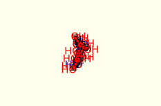 O=C(O)CN(CCN(CC(=O)O)Cc1c(O)c(I)c(C(=O)NCC(O)CO)c(I)c1O)CCN(CC(=O)O)Cc1c(O)c(I)c(C(=O)NCC(O)CO)c(I)c1O